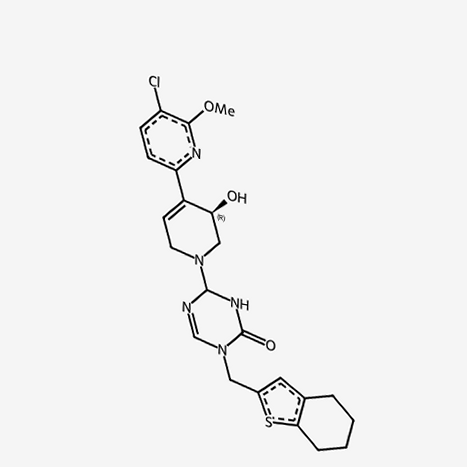 COc1nc(C2=CCN(C3N=CN(Cc4cc5c(s4)CCCC5)C(=O)N3)C[C@@H]2O)ccc1Cl